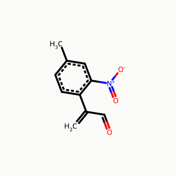 C=C(C=O)c1ccc(C)cc1[N+](=O)[O-]